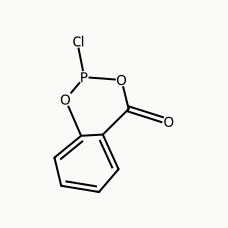 O=C1OP(Cl)Oc2ccccc21